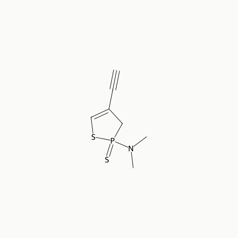 C#CC1=CSP(=S)(N(C)C)C1